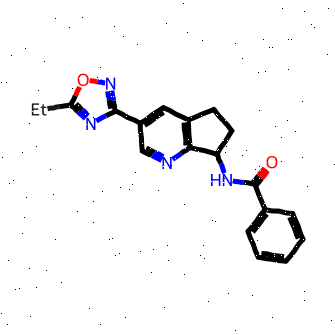 CCc1nc(-c2cnc3c(c2)CCC3NC(=O)c2ccccc2)no1